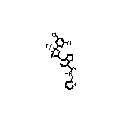 FC(F)(F)C1(c2cc(Cl)cc(Cl)c2)CC(c2ccc(C(=S)NCc3ccccn3)c3c2CCC3)=NO1